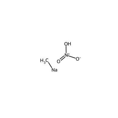 O=[N+]([O-])O.[CH3][Na]